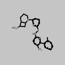 Cc1ccccc1-c1nc(NSc2cccc(N3CCCC4C(C(=O)O)CC43)n2)ccc1C(F)(F)F